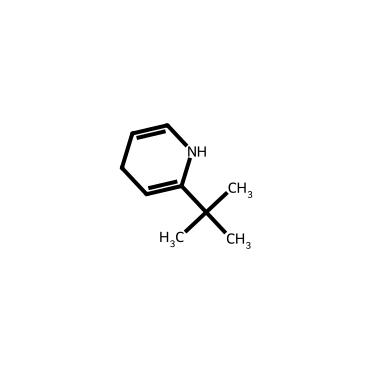 CC(C)(C)C1=CCC=CN1